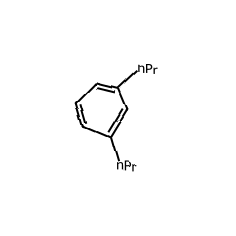 [CH2]CCc1cccc(CCC)c1